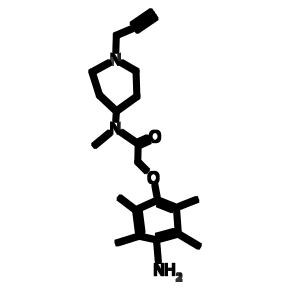 C#CCN1CCC(N(C)C(=O)COc2c(C)c(C)c(N)c(C)c2C)CC1